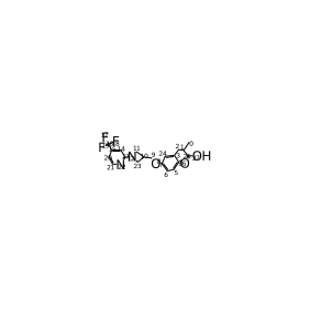 CC(Cc1cccc(OCC2CN(c3cc(C(F)(F)F)ccn3)C2)c1)C(=O)O